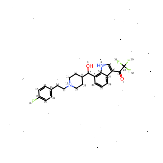 O=C(c1c[nH]c2c(C(O)C3CCN(CCc4ccc(F)cc4)CC3)cccc12)C(F)(F)F